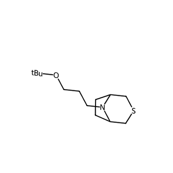 CC(C)(C)OCCCN1C2CCC1CSC2